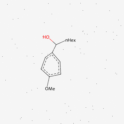 CCCCCCC(O)c1ccc(OC)cc1